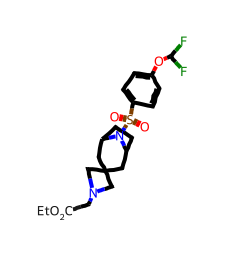 CCOC(=O)CN1CC2(CC3CCC(C2)N3S(=O)(=O)c2ccc(OC(F)F)cc2)C1